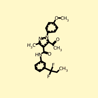 CCC(F)(F)c1cccc(NC(=O)c2c(C)nn(-c3ccc(OC)cc3)c2C(C)=O)c1